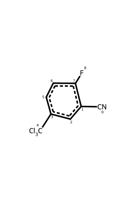 N#Cc1cc(C(Cl)(Cl)Cl)ccc1F